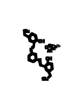 CC(=O)[O-].CC(=O)[O-].CC(C)(C)Cc1ccc(O)c(C=Nc2cccc(N=Cc3cc(CC(C)(C)C)ccc3O)c2)c1.[Co+2]